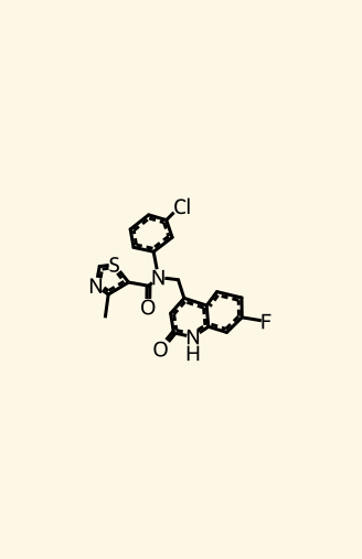 Cc1ncsc1C(=O)N(Cc1cc(=O)[nH]c2cc(F)ccc12)c1cccc(Cl)c1